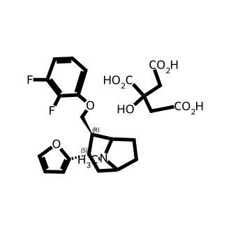 CN1C2CCC1[C@H](COc1cccc(F)c1F)[C@@H](c1ccco1)C2.O=C(O)CC(O)(CC(=O)O)C(=O)O